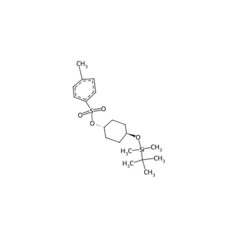 Cc1ccc(S(=O)(=O)O[C@H]2CC[C@H](O[Si](C)(C)C(C)(C)C)CC2)cc1